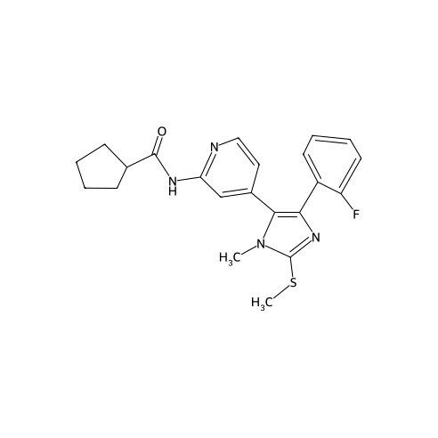 CSc1nc(-c2ccccc2F)c(-c2ccnc(NC(=O)C3CCCC3)c2)n1C